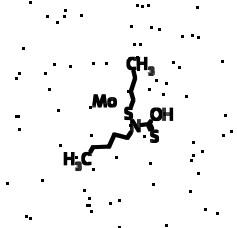 CCCCCN(SCCCC)C(O)=S.[Mo]